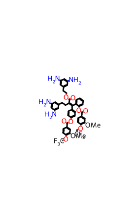 COc1cc(C(=O)Oc2ccccc2/C(=C(/CCc2cc(N)cc(N)c2)C(=O)OCCc2cc(N)cc(N)c2)c2ccc(OC(=O)c3ccc(OC(F)(F)F)c(OC)c3)cc2)ccc1OCC(F)(F)F